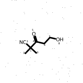 CC(C)(C#N)C(=O)CCO